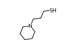 SCCCN1CCCCC1